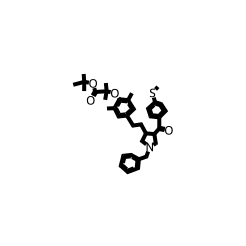 CSc1ccc(C(=O)C2CN(Cc3ccccc3)CC2CCc2cc(C)c(OC(C)(C)C(=O)OC(C)(C)C)c(C)c2)cc1